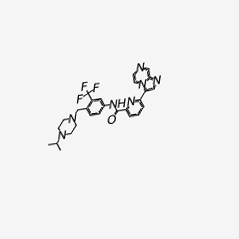 CC(C)N1CCN(Cc2ccc(NC(=O)c3cccc(-c4cnc5cnccn45)n3)cc2C(F)(F)F)CC1